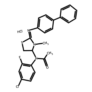 CC(=O)N(c1ccc(Cl)cc1F)C1CSC(=Nc2ccc(-c3ccccc3)cc2)N1C.Cl